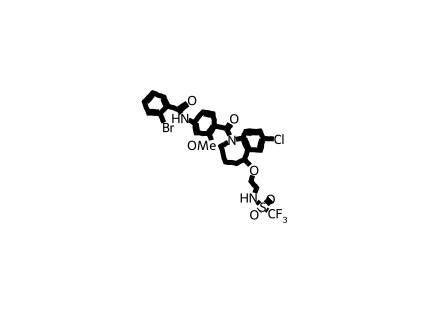 COc1cc(NC(=O)c2ccccc2Br)ccc1C(=O)N1CCCC(OCCNS(=O)(=O)C(F)(F)F)c2cc(Cl)ccc21